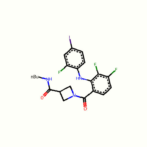 CCCCNC(=O)C1CN(C(=O)c2ccc(F)c(F)c2Nc2ccc(I)cc2F)C1